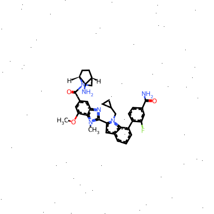 COc1cc(C(=O)N2C[C@H]3CC[C@@H]2C3N)cc2nc(-c3cc4cccc(-c5ccc(C(N)=O)cc5F)c4n3CC3CC3)n(C)c12